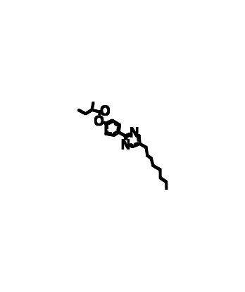 CCCCCCCCc1cnc(-c2ccc(OC(=O)C(C)CC)cc2)nc1